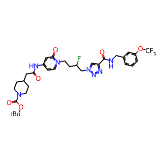 CC(C)(C)OC(=O)N1CCC(CC(=O)Nc2ccn(CCC(F)Cn3cc(C(=O)NCc4cccc(OC(F)(F)F)c4)nn3)c(=O)c2)CC1